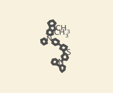 CC1(C)c2ccccc2-c2ccc(N(c3ccccc3)c3ccc(-c4ccc5sc6ccc(-n7c8ccccc8c8ccccc87)cc6c5c4)cc3)cc21